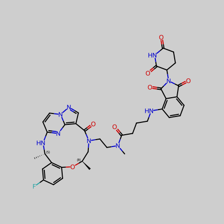 C[C@@H]1CN(CCN(C)C(=O)CCCNc2cccc3c2C(=O)N(C2CCC(=O)NC2=O)C3=O)C(=O)c2cnn3ccc(nc23)N[C@@H](C)c2cc(F)ccc2O1